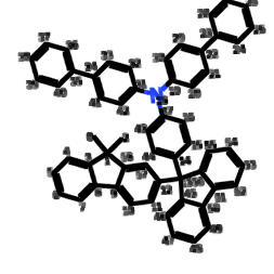 CC1(C)c2ccccc2-c2ccc(C3(c4ccc(N(c5ccc(-c6ccccc6)cc5)c5ccc(-c6ccccc6)cc5)cc4)c4ccccc4-c4ccccc43)cc21